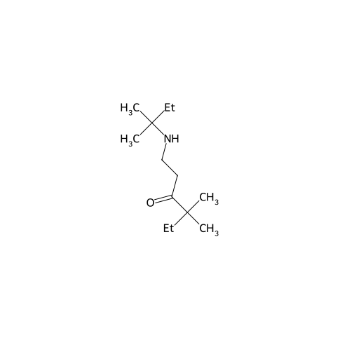 CCC(C)(C)NCCC(=O)C(C)(C)CC